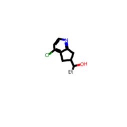 CCC(O)C1Cc2nccc(Cl)c2C1